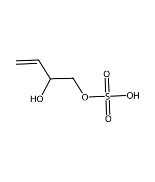 C=CC(O)COS(=O)(=O)O